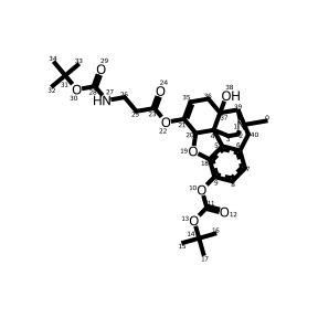 CN1CCC23c4c5ccc(OC(=O)OC(C)(C)C)c4OC2C(OC(=O)CCNC(=O)OC(C)(C)C)=CCC3(O)C1C5